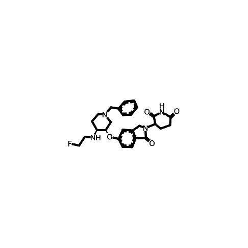 O=C1CCC(N2Cc3cc(O[C@H]4CN(Cc5ccccc5)CC[C@@H]4NCCF)ccc3C2=O)C(=O)N1